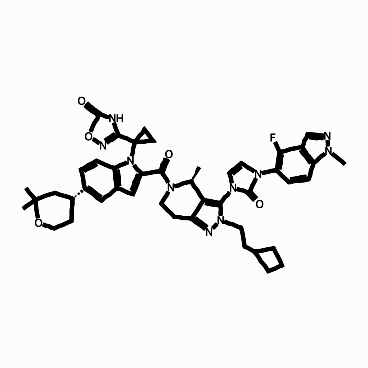 C[C@H]1c2c(nn(CCC3CCC3)c2-n2ccn(-c3ccc4c(cnn4C)c3F)c2=O)CCN1C(=O)c1cc2cc([C@@H]3CCOC(C)(C)C3)ccc2n1C1(c2noc(=O)[nH]2)CC1